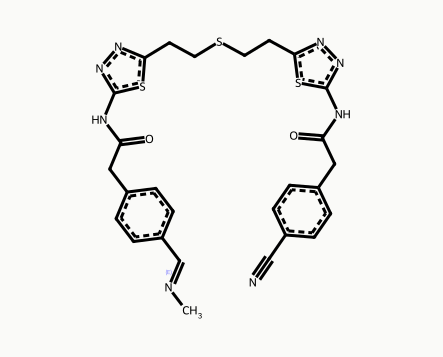 C/N=C/c1ccc(CC(=O)Nc2nnc(CCSCCc3nnc(NC(=O)Cc4ccc(C#N)cc4)s3)s2)cc1